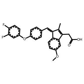 COc1ccc2c(c1)C(CC(=O)O)=C(C)/C2=C/c1ccc(Oc2ccc(F)c(F)c2)cc1